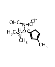 CC1=CC[C]([Zr+2]([NH]C=O)[SiH](C)C)=C1.[Cl-].[Cl-]